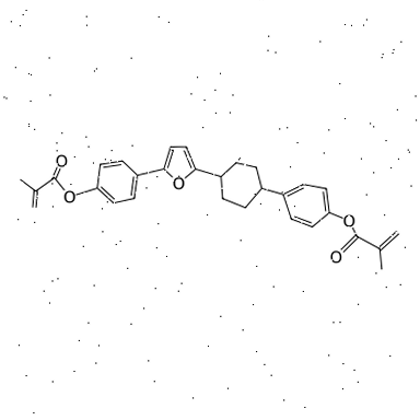 C=C(C)C(=O)Oc1ccc(-c2ccc(C3CCC(c4ccc(OC(=O)C(=C)C)cc4)CC3)o2)cc1